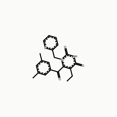 CCc1c(C(=O)c2cc(C)cc(C)c2)n(Cc2ccccn2)c(=O)[nH]c1=O